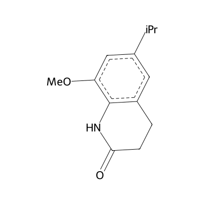 COc1cc(C(C)C)cc2c1NC(=O)CC2